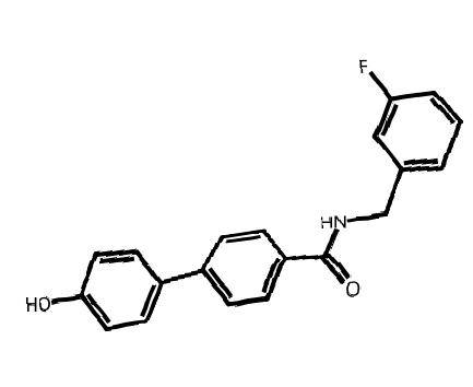 O=C(NCc1cccc(F)c1)c1ccc(-c2ccc(O)cc2)cc1